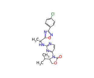 CC(C)C1COC(=O)N1c1ccnc(N[C@H](C)c2nc(-c3ccc(Cl)cc3)no2)n1